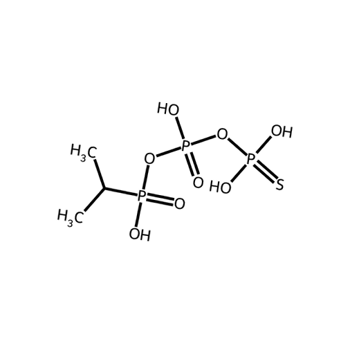 CC(C)P(=O)(O)OP(=O)(O)OP(O)(O)=S